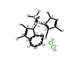 CC1=CC(C)[C]([Zr+2]([CH]2C(C)=C(C)c3ccccc32)=[Ge]([CH3])[CH3])=C1C.[Cl-].[Cl-]